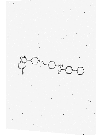 O=C(N[C@H]1CC[C@H](CCN2CCC(c3noc4ccc(F)cc34)CC2)CC1)c1ccc(N2CCCCC2)cc1